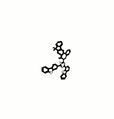 CC1c2cc3c(cc2-c2ccccc2CC1c1nc(-c2ccc4c(c2)oc2ccccc24)nc(-c2cccc4c2oc2ccccc24)n1)-c1ccccc1C3(C)C